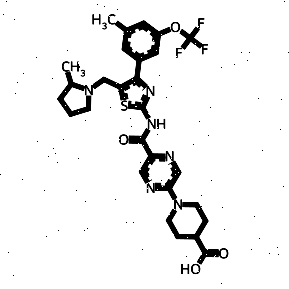 Cc1cc(OC(F)(F)F)cc(-c2nc(NC(=O)c3cnc(N4CCC(C(=O)O)CC4)cn3)sc2CN2CCCC2C)c1